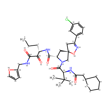 CCC[C@H](NC(=O)[C@@H]1C[C@]2(CC(c3cccc(Cl)c3)=NO2)CN1C(=O)[C@@H](NC(=O)CC1CCCCC1)C(C)(C)C)C(=O)C(=O)NCc1ccco1